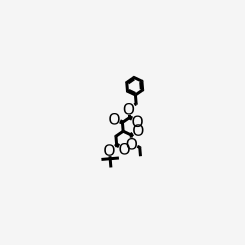 CCOC(=O)C(CC(=O)OC(C)(C)C)C(=O)C(=O)OCc1ccccc1